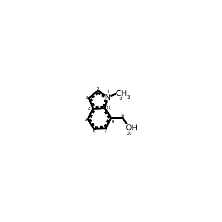 Cn1ccc2cccc(CO)c21